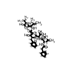 CC[C@H](C)[C@H](NC(=O)C[C@H](O)[C@H](Cc1ccccc1)NC(=O)[C@@H](NC(=O)[C@H](CC(C)C)NC(=O)Cc1ccccc1)C(C)C)C(=O)N[C@H](C(=O)O)C(C)C